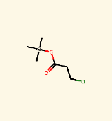 C[Si](C)(C)OC(=O)CCCl